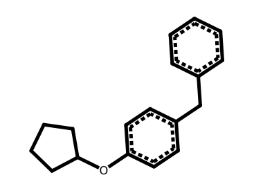 c1ccc(Cc2ccc(OC3CCCC3)cc2)cc1